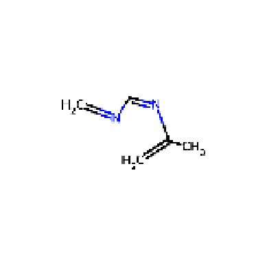 C=N/C=N\C(=C)C